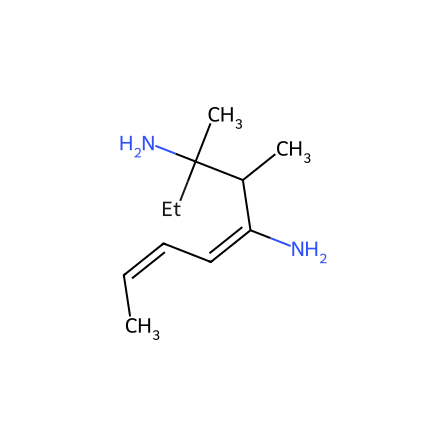 C/C=C\C=C(\N)C(C)C(C)(N)CC